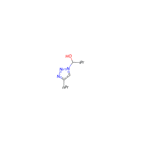 CCCc1cn(C(O)C(C)C)nn1